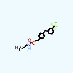 CCCNC(=O)OCCc1ccc(Cc2cccc(C(F)(F)F)c2)cc1